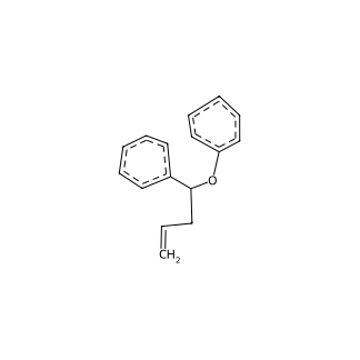 C=CCC(Oc1ccccc1)c1ccccc1